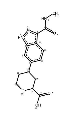 CNC(=O)c1n[nH]c2cc(N3CCOC(C(=O)O)C3)ccc12